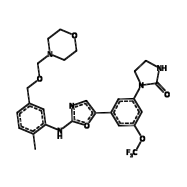 Cc1ccc(COCN2CCOCC2)cc1Nc1ncc(-c2cc(OC(F)(F)F)cc(N3CCNC3=O)c2)o1